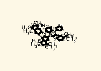 CC(C)(C)c1ccc2sc3c(c2c1)N(c1ccccc1)c1cccc2c1B3c1cc3c(cc1N2c1ccc2c(c1)C(C)(C)CC2(C)C)C(C)(C)CC3(C)C